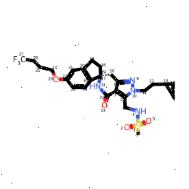 CS(=O)(=O)NCc1c2c(nn1CCC1CC1)C[C@]1(CCc3cc(OCCCC(F)(F)F)ccc31)NC2=O